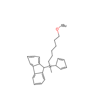 CC(C)(C)OCCCCCC[Si](C)(C1C=CC=C1)C1c2ccccc2-c2ccccc21